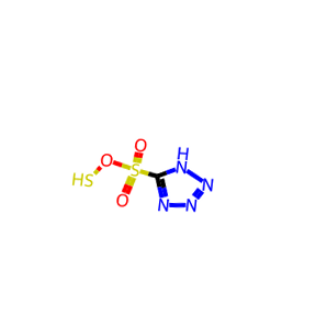 O=S(=O)(OS)c1nnn[nH]1